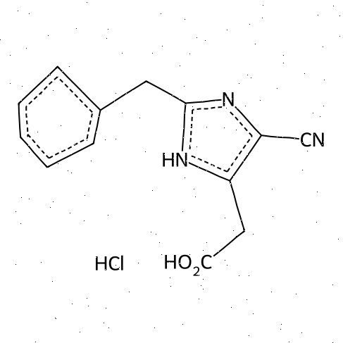 Cl.N#Cc1nc(Cc2ccccc2)[nH]c1CC(=O)O